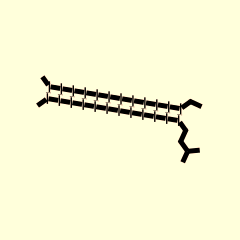 CCI1I(CCC(C)C)I2I1I1I2I2I1I1I2I2I3I4I5I6I7I(C)I(C)I7I6I5I4I3I12